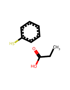 CCC(=O)O.Sc1ccccc1